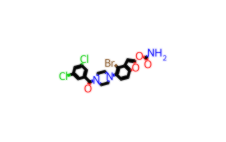 NC(=O)Oc1cc2c(Br)c(N3CCN(C(=O)c4cc(Cl)cc(Cl)c4)CC3)ccc2o1